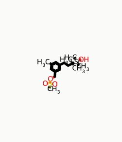 Cc1cc(CCC(C)(C)[Si](C)(C)O)cc(COS(C)(=O)=O)c1